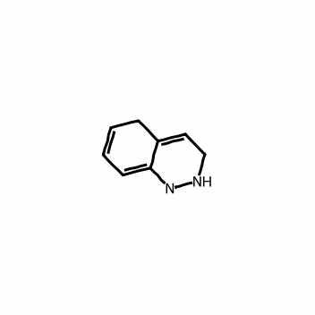 C1=CCC2=CCN[N]C2=C1